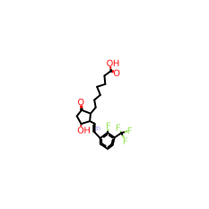 O=C(O)CCCCCCC1C(=O)CC(O)C1/C=C/c1cccc(C(F)(F)F)c1F